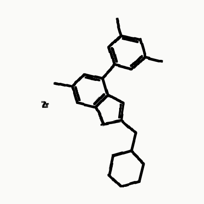 Cc1cc(C)cc(-c2cc(C)cc3c2C=C(CC2CCCCC2)[CH]3)c1.[Zr]